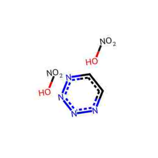 O=[N+]([O-])O.O=[N+]([O-])O.c1cnnnn1